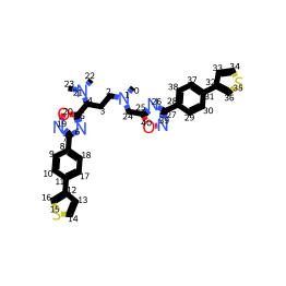 CN(CCC(c1nc(-c2ccc(-c3ccsc3)cc2)no1)N(C)C)Cc1nc(-c2ccc(-c3ccsc3)cc2)no1